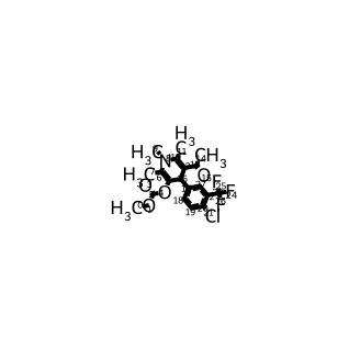 COC(=O)OC1=C(C)N(C)C(C)=C(C(C)=O)C1c1ccc(Cl)c(C(F)(F)F)c1